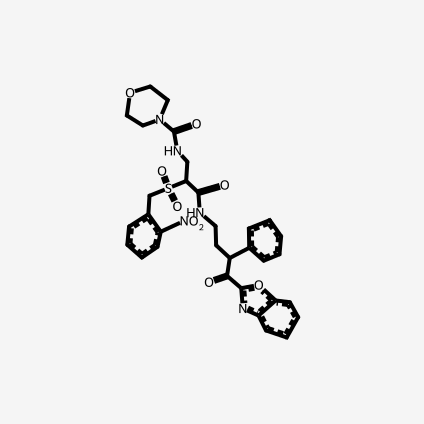 O=C(c1nc2ccccc2o1)C(CCNC(=O)C(CNC(=O)N1CCOCC1)S(=O)(=O)Cc1ccccc1[N+](=O)[O-])c1ccccc1